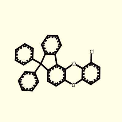 Clc1cccc2c1Oc1c(ccc3c1-c1ccccc1C3(c1ccccc1)c1ccccc1)O2